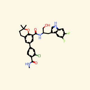 CNC(=O)c1ccc(-c2cc3c(c(C(=O)NC(CO)Cc4c[nH]c5cc(F)c(F)cc45)c2)OC(C)(C)CC3)cc1Cl